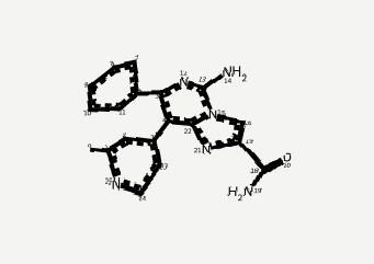 Cc1cc(-c2c(-c3ccccc3)nc(N)n3cc(C(N)=O)nc23)ccn1